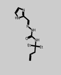 C=CCC(CC)(CC)NC(=O)N/N=C/c1ncc[nH]1